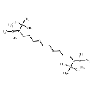 C[Si](C)(C)N(CCCOCCOCCCN([Si](C)(C)C)[Si](C)(C)C)[Si](C)(C)C